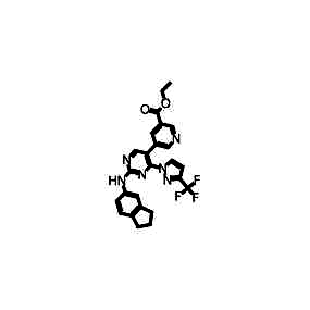 CCOC(=O)c1cncc(-c2cnc(Nc3ccc4c(c3)CCC4)nc2-n2ccc(C(F)(F)F)n2)c1